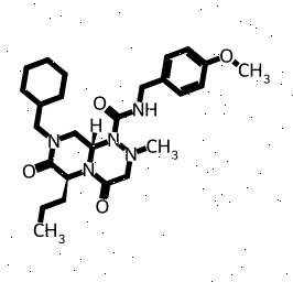 CCC[C@H]1C(=O)N(CC2CCCCC2)C[C@H]2N1C(=O)CN(C)N2C(=O)NCc1ccc(OC)cc1